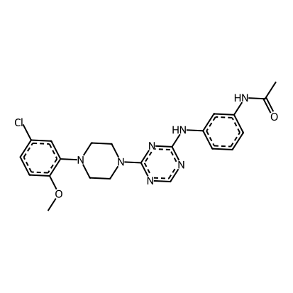 COc1ccc(Cl)cc1N1CCN(c2ncnc(Nc3cccc(NC(C)=O)c3)n2)CC1